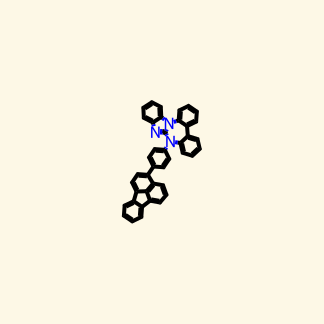 c1ccc2c(c1)-c1cccc3c(-c4ccc(N5c6ccccc6-c6ccccc6-n6c5nc5ccccc56)cc4)ccc-2c13